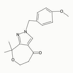 COc1ccc(Cn2cc3c(n2)C(C)(C)OCCC3=O)cc1